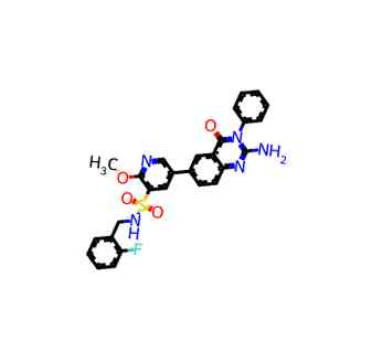 COc1ncc(-c2ccc3nc(N)n(-c4ccccc4)c(=O)c3c2)cc1S(=O)(=O)NCc1ccccc1F